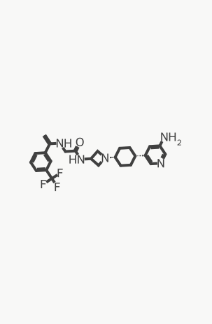 C=C(NCC(=O)NC1CN([C@H]2CC[C@@H](c3cncc(N)c3)CC2)C1)c1cccc(C(F)(F)F)c1